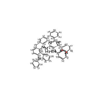 c1ccc(Nc2c(NN3c4ccccc4Cc4ccc5c(c43)c3ccccc3n5-c3ccccc3)nc(-c3ccccc3)nc2-c2ccccc2)cc1